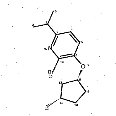 CC(C)c1ccc(O[C@@H]2CC[C@H](C)C2)c(Br)n1